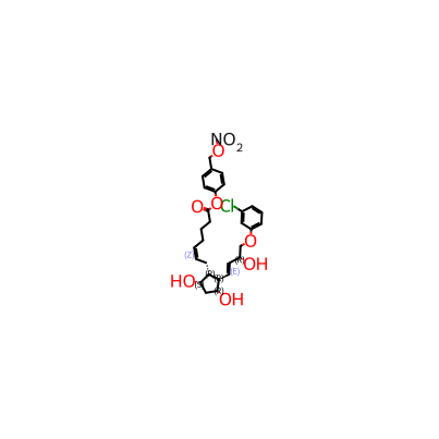 O=C(CCC/C=C\C[C@@H]1[C@@H](/C=C/[C@@H](O)COc2cccc(Cl)c2)[C@H](O)C[C@@H]1O)Oc1ccc(CO[N+](=O)[O-])cc1